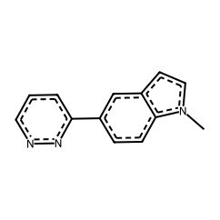 Cn1ccc2cc(-c3cccnn3)ccc21